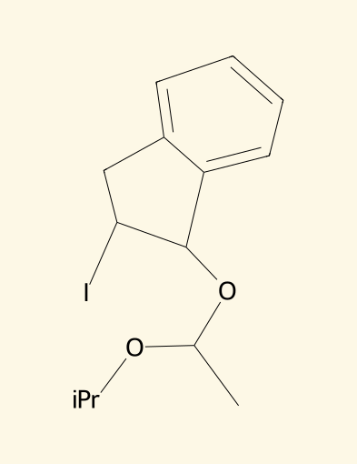 CC(C)OC(C)OC1c2ccccc2CC1I